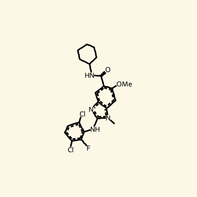 COc1cc2c(cc1C(=O)NC1CCCCC1)nc(Nc1c(Cl)ccc(Cl)c1F)n2C